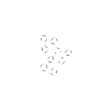 c1ccc(-c2ccccc2-c2cc(-c3cccc(-c4cccc5sc6ccccc6c45)c3)nc(-c3ccc(-c4cccc5sc6ccccc6c45)cc3)n2)cc1